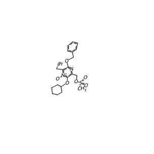 CC(C)Cc1c(OCc2ccccc2)nc(COS(C)(=O)=O)c(OC2CCCCC2)[n+]1[O-]